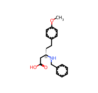 COc1ccc(CC[C@@H](CC(=O)O)NCc2ccccc2)cc1